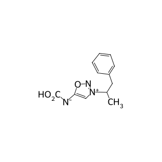 CC(Cc1ccccc1)[n+]1cc([N-]C(=O)O)on1